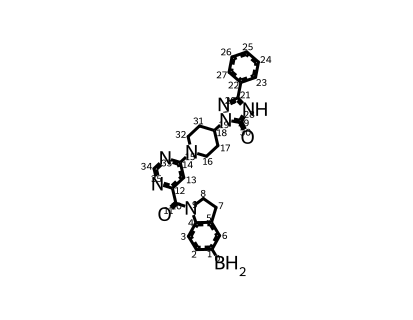 Bc1ccc2c(c1)CCN2C(=O)c1cc(N2CCC(n3nc(-c4ccccc4)[nH]c3=O)CC2)ncn1